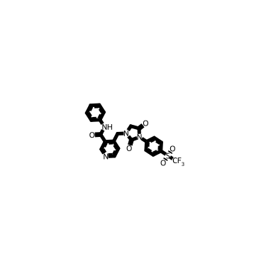 O=C(Nc1ccccc1)c1cnccc1CN1CC(=O)N(c2ccc(S(=O)(=O)C(F)(F)F)cc2)C1=O